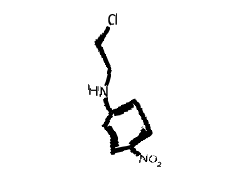 O=[N+]([O-])c1ccc(NCCCl)cc1